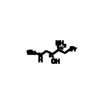 CC(C)C[C@H](N)[C@H](O)CNC(C)(C)C